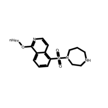 CCCCCCOc1nccc2c(S(=O)(=O)N3CCCNCC3)cccc12